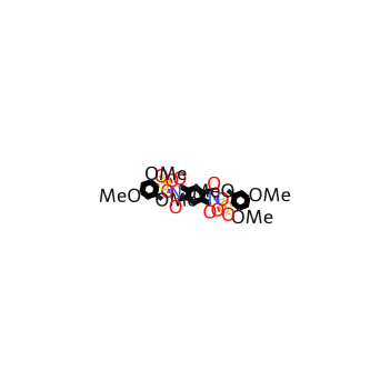 COc1cc(OC)c(S(=O)(=O)On2c(=O)c3cc4c(=O)n(OS(=O)(=O)c5c(OC)cc(OC)cc5OC)c(=O)c4cc3c2=O)c(OC)c1